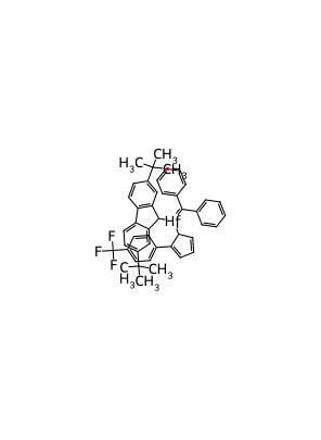 CC(C)(C)c1ccc2c(c1)[CH]([Hf](=[C](c1ccccc1)c1ccccc1)[CH]1C=CC=C1c1ccc(C(F)(F)F)cc1)c1cc(C(C)(C)C)ccc1-2